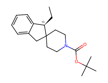 CC[C@@H]1c2ccccc2CC12CCN(C(=O)OC(C)(C)C)CC2